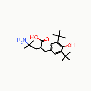 CC(C)(N)CC(Cc1cc(C(C)(C)C)c(O)c(C(C)(C)C)c1)C(=O)O